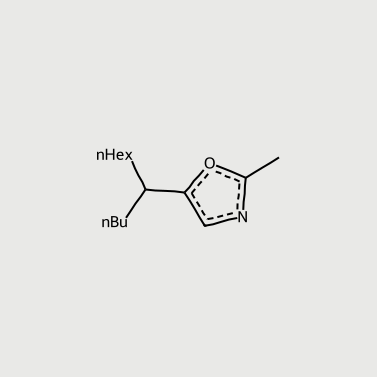 CCCCCCC(CCCC)c1cnc(C)o1